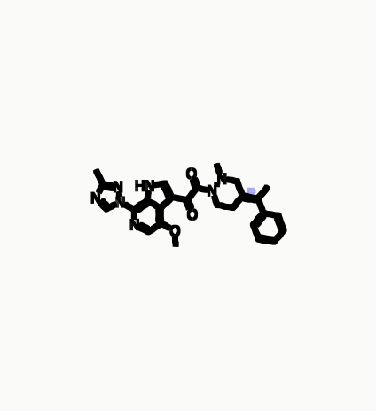 COc1cnc(-n2cnc(C)n2)c2[nH]cc(C(=O)C(=O)N3CC/C(=C(/C)c4ccccc4)CN3C)c12